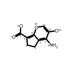 NC1=C2CCC(C(=O)Cl)=C2OC=C1Cl